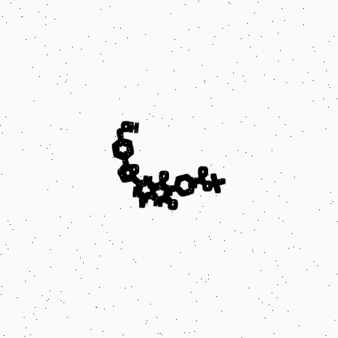 Cn1nc(-c2ccc(-c3ccc(CO)cc3)o2)nc2c(=O)n(C3CCN(C(=O)OC(C)(C)C)CC3)c(=O)nc1-2